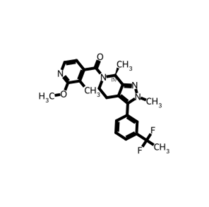 COc1nccc(C(=O)N2CCc3c(nn(C)c3-c3cccc(C(C)(F)F)c3)[C@@H]2C)c1C